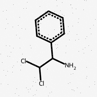 NC(c1ccccc1)C(Cl)Cl